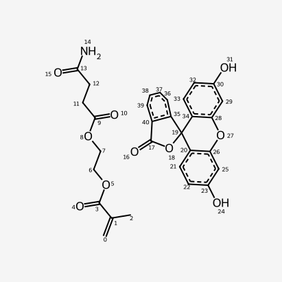 C=C(C)C(=O)OCCOC(=O)CCC(N)=O.O=C1OC2(c3ccc(O)cc3Oc3cc(O)ccc32)c2ccccc21